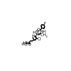 CC(C)(CNc1ncc(/C=C/C(=O)NO)cc1Cl)NC(=O)c1ccc(F)cc1